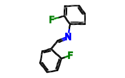 Fc1ccccc1C=Nc1ccccc1F